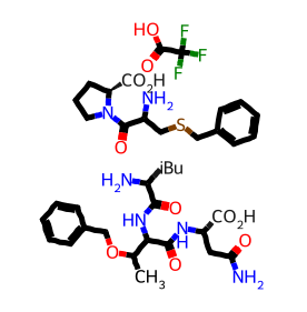 CCC(C)C(N)C(=O)NC(C(=O)NC(CC(N)=O)C(=O)O)C(C)OCc1ccccc1.NC(CSCc1ccccc1)C(=O)N1CCC[C@H]1C(=O)O.O=C(O)C(F)(F)F